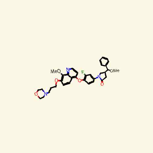 COc1c(OCCCN2CCOCC2)ccc2c(Oc3ccc(N4CC(C(OC)c5ccccc5)CC4=O)cc3F)ccnc12